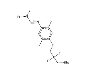 Cc1cc(OCC(F)(F)CC(C)(C)C)c(C)cc1/N=C/N(C)C(C)C